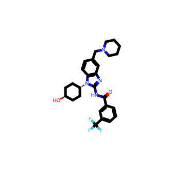 O=C(Nc1nc2cc(CN3CCCCC3)ccc2n1[C@H]1CC[C@H](O)CC1)c1cccc(C(F)(F)F)c1